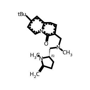 C=C1CC[C@@H](CN(C)Cc2ccc3cc(C(C)(C)C)ccn3c2=O)N1C